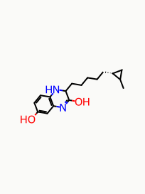 CC1C[C@H]1CCCCCC1Nc2ccc(O)cc2N=C1O